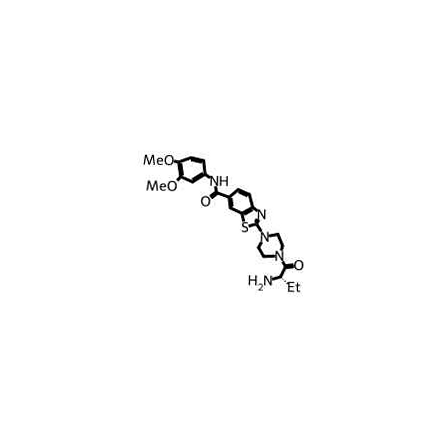 CC[C@H](N)C(=O)N1CCN(c2nc3ccc(C(=O)Nc4ccc(OC)c(OC)c4)cc3s2)CC1